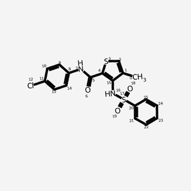 Cc1csc(C(=O)Nc2ccc(Cl)cc2)c1NS(=O)(=O)c1ccccc1